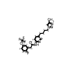 Cc1cn(CCCCc2ccc(NC(=O)Cc3cc(OC(F)(F)F)ccc3F)nn2)nn1